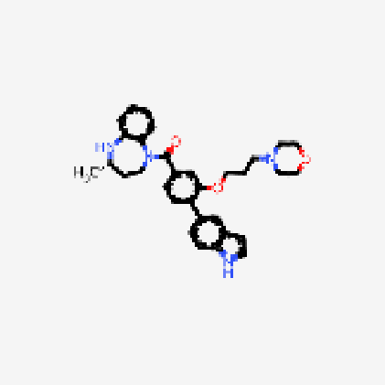 C[C@H]1CCN(C(=O)c2ccc(-c3ccc4[nH]ccc4c3)c(OCCCN3CCOCC3)c2)c2ccccc2N1